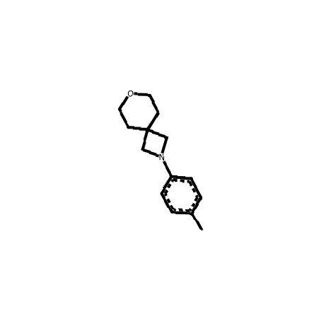 Cc1ccc(N2CC3(CCOCC3)C2)cc1